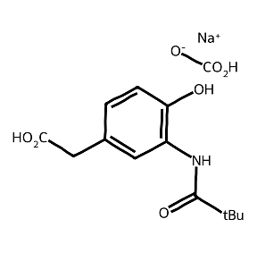 CC(C)(C)C(=O)Nc1cc(CC(=O)O)ccc1O.O=C([O-])O.[Na+]